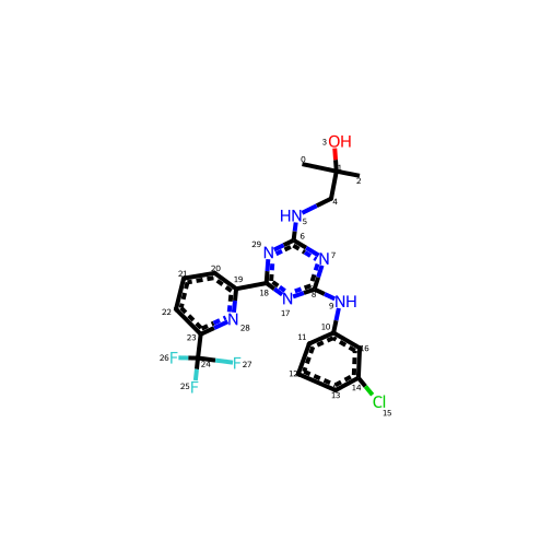 CC(C)(O)CNc1nc(Nc2cccc(Cl)c2)nc(-c2cccc(C(F)(F)F)n2)n1